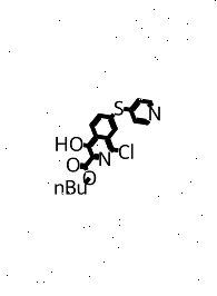 CCCCOC(=O)c1nc(Cl)c2cc(Sc3ccncc3)ccc2c1O